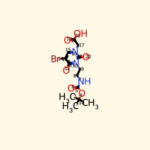 CC(C)(C)OC(=O)NCCn1c(=O)c(Br)cn(CC(=O)O)c1=O